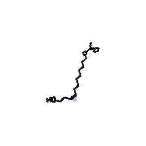 CC(=O)OCCCCCCCC/C=C\CCO